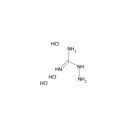 Cl.Cl.Cl.N=C(N)NN